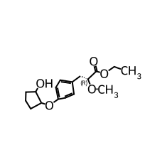 CCOC(=O)[C@@H](Cc1ccc(OC2CCCC2O)cc1)OC